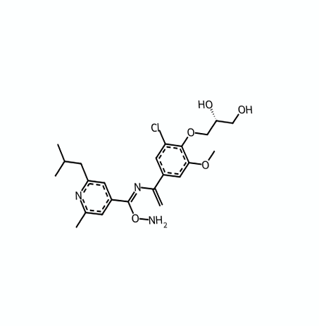 C=C(/N=C(\ON)c1cc(C)nc(CC(C)C)c1)c1cc(Cl)c(OC[C@H](O)CO)c(OC)c1